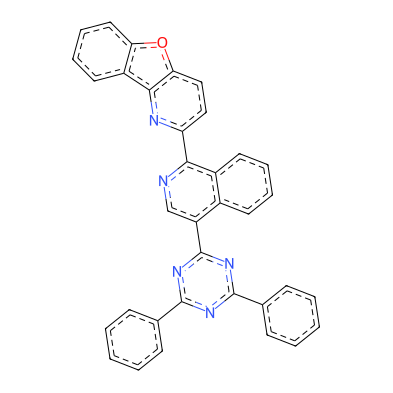 c1ccc(-c2nc(-c3ccccc3)nc(-c3cnc(-c4ccc5oc6ccccc6c5n4)c4ccccc34)n2)cc1